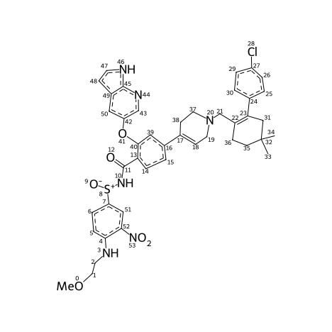 COCCNc1ccc([S+]([O-])NC(=O)c2ccc(C3=CCN(CC4=C(c5ccc(Cl)cc5)CC(C)(C)CC4)CC3)cc2Oc2cnc3[nH]ccc3c2)cc1[N+](=O)[O-]